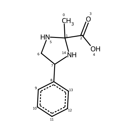 CC1(C(=O)O)NCC(c2ccccc2)N1